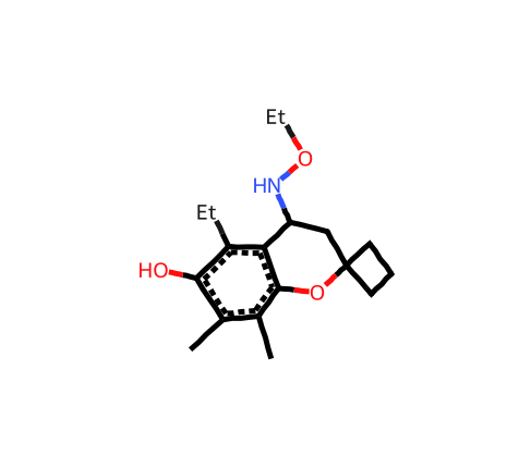 CCONC1CC2(CCC2)Oc2c(C)c(C)c(O)c(CC)c21